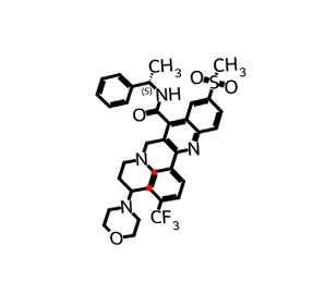 C[C@H](NC(=O)c1c(CN2CCC(N3CCOCC3)CC2)c(-c2ccc(C(F)(F)F)cc2)nc2ccc(S(C)(=O)=O)cc12)c1ccccc1